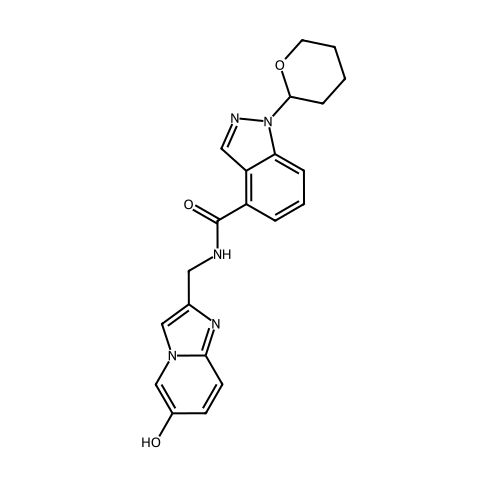 O=C(NCc1cn2cc(O)ccc2n1)c1cccc2c1cnn2C1CCCCO1